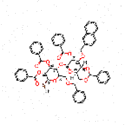 CCS[C@@H]1O[C@H](COCc2ccccc2)[C@@H](O[C@@H]2O[C@@H]3COC(c4ccccc4)O[C@H]3[C@H](OCc3ccc4ccccc4c3)[C@H]2OC(=O)c2ccccc2)[C@H](OC(=O)c2ccccc2)[C@H]1OC(=O)c1ccccc1